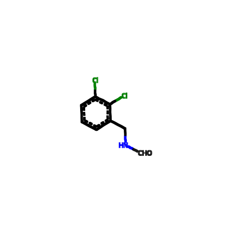 O=CNCc1cccc(Cl)c1Cl